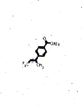 COC(=O)c1ccc(/C(C)=C/C(F)(F)F)cc1